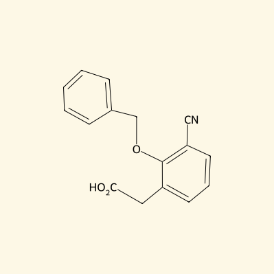 N#Cc1cccc(CC(=O)O)c1OCc1ccccc1